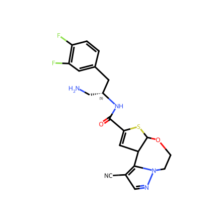 N#Cc1cnn2c1C1C=C(C(=O)N[C@H](CN)Cc3ccc(F)c(F)c3)SC1OCC2